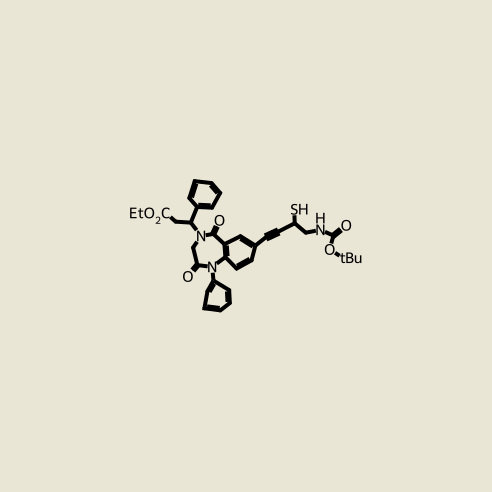 CCOC(=O)CC(c1ccccc1)N1CC(=O)N(c2ccccc2)c2ccc(C#CC(S)CNC(=O)OC(C)(C)C)cc2C1=O